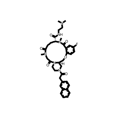 CN(C)CCNC(=O)[C@H]1CCC(=O)N(C)CC(=O)N2CCN(C(=O)Cc3ccc4ccccc4c3)C[C@@H]2COc2ccc(F)cc2C(=O)N1C